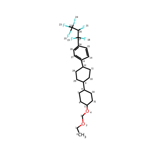 CCOCOC1CCC(C2CCC(c3ccc(C(F)(F)C(F)C(F)(F)F)cc3)CC2)CC1